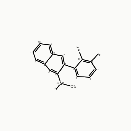 Cc1cccc(-c2cc3ccccc3cc2[S+](C)[O-])c1F